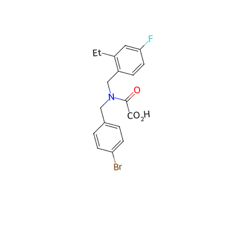 CCc1cc(F)ccc1CN(Cc1ccc(Br)cc1)C(=O)C(=O)O